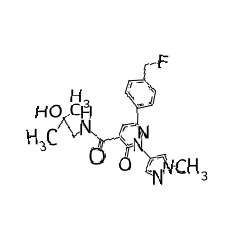 Cn1cc(-n2nc(-c3ccc(CF)cc3)cc(C(=O)NCC(C)(C)O)c2=O)cn1